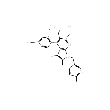 Cc1nc2c(c(C)c(C)n2Cc2ccc(F)nc2)c(-c2ccc(Cl)cc2OC(C)(C)C)c1CC(=O)O